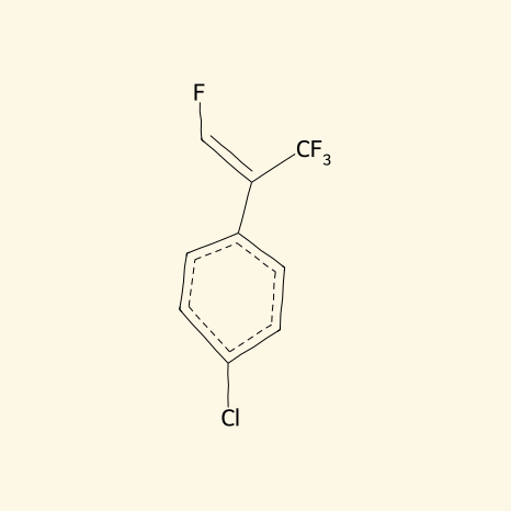 FC=C(c1ccc(Cl)cc1)C(F)(F)F